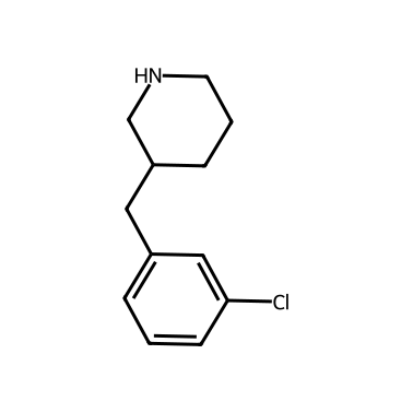 Clc1cccc(CC2CCCNC2)c1